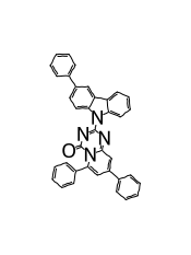 O=c1nc(-n2c3ccccc3c3cc(-c4ccccc4)ccc32)nc2cc(-c3ccccc3)cc(-c3ccccc3)n12